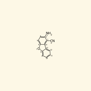 N#Cc1c(N)ccc2oc3ccccc3c12